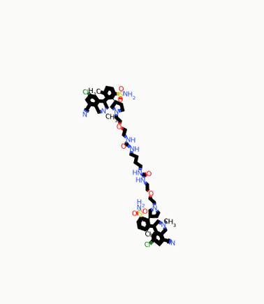 Cc1ccc(S(N)(=O)=O)c([C@@H]2CCN(CCOCCNC(=O)NCCCCNC(=O)NCCOCCN3CC[C@@H](c4c(S(N)(=O)=O)ccc(C)c4C4CN(C)Cc5c(C#N)cc(Cl)cc54)C3)C2)c1C1CN(C)Cc2c(C#N)cc(Cl)cc21